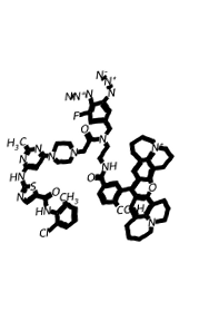 Cc1nc(Nc2ncc(C(=O)Nc3c(C)cccc3Cl)s2)cc(N2CCN(CC(=O)N(CCNC(=O)c3ccc(C(=O)O)c(C4=c5cc6c7c(c5Oc5c4cc4c8c5CCCN8CCCC4)CCC[N+]=7CCCC6)c3)Cc3cc(F)c(N=[N+]=[N-])c(N=[N+]=[N-])c3)CC2)n1